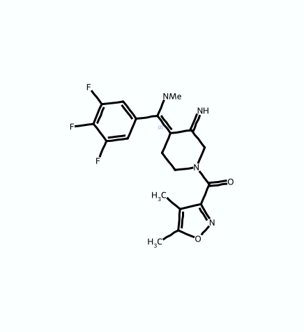 CN/C(=C1/CCN(C(=O)c2noc(C)c2C)CC1=N)c1cc(F)c(F)c(F)c1